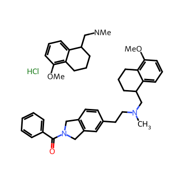 CNCC1CCCc2c(OC)cccc21.COc1cccc2c1CCCC2CN(C)CCc1ccc2c(c1)CN(C(=O)c1ccccc1)C2.Cl